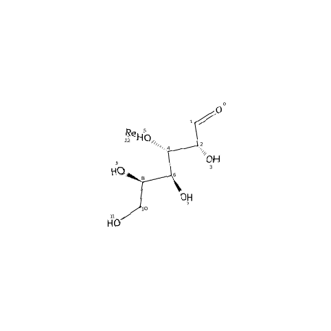 O=C[C@H](O)[C@@H](O)[C@@H](O)[C@H](O)CO.[Re]